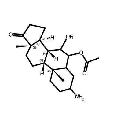 CC(=O)OC1C(O)[C@@H]2[C@@H](CC[C@]3(C)C(=O)CC[C@@H]23)[C@@]2(C)CCC(N)CC12